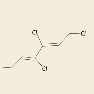 ClC/C=C(Cl)/C(Cl)=C/CCl